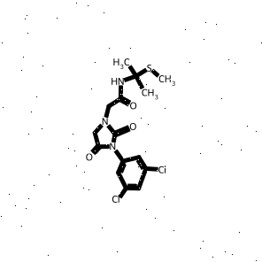 CSC(C)(C)NC(=O)CN1CC(=O)N(c2cc(Cl)cc(Cl)c2)C1=O